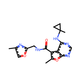 Cc1coc(CNC(=O)c2c(C)oc3ncnc(NC4(C)CC4)c23)n1